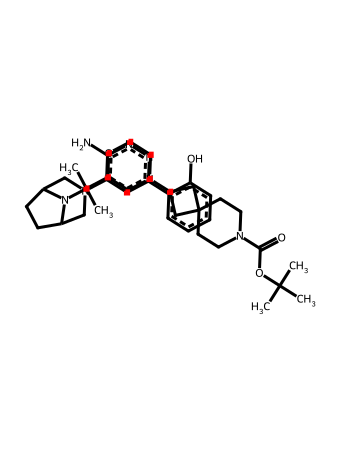 CC(C)(C)OC(=O)N1CCC2(CC1)CC(N1CCOC(C(C)(C)N3C4CCC3CN(c3cc(-c5ccccc5O)nnc3N)C4)C1)C2